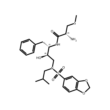 CSC[C@H](N)C(=O)N[C@@H](Cc1ccccc1)[C@H](O)CN(CC(C)C)S(=O)(=O)c1ccc2c(c1)OCO2